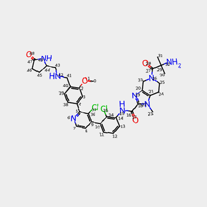 COc1cc(-c2nccc(-c3cccc(NC(=O)c4nc5c(n4C)CCN(C(=O)C(C)(C)N)C5)c3Cl)c2Cl)ccc1CNCC1CCC(=O)N1